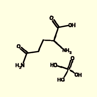 NC(=O)CCC(N)C(=O)O.O=P(O)(O)O